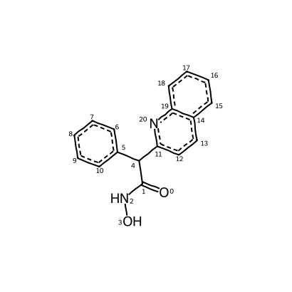 O=C(NO)C(c1ccccc1)c1ccc2ccccc2n1